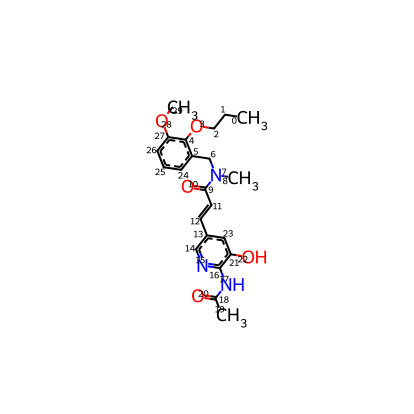 CCCOc1c(CN(C)C(=O)/C=C/c2cnc(NC(C)=O)c(O)c2)cccc1OC